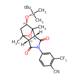 CC12C[C@@H](O[Si](C)(C)C(C)(C)C)C(C)(O1)[C@@H]1C(=O)N(c3ccc(C#N)c(C(F)(F)F)c3)C(=O)[C@@H]12